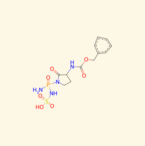 NP(=O)(NS(=O)(=O)O)N1CCC(NC(=O)OCc2ccccc2)C1=O